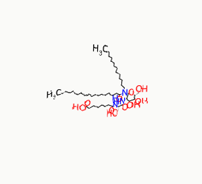 CCCCCCCCCCCCCCCCCC(=O)N(CCCCCCCCCCCCCC)[C@@H]1O[C@H](CO)[C@@H](O)[C@H](O)[C@@H]1NC(=O)[C@H](CO)NC(=O)CCCCCCC(=O)O